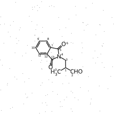 CC(C=O)CN1C(=O)c2ccccc2C1=O